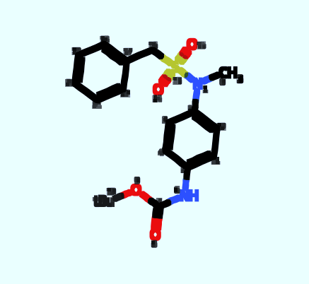 CN(c1ccc(NC(=O)OC(C)(C)C)cc1)S(=O)(=O)Cc1ccccc1